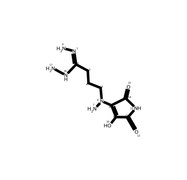 N/N=C(/CCCN(N)C1=C(O)C(=O)NC1=O)NN